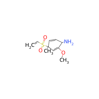 C=CS(=O)(=O)C1(C)C=CC(N)C(OC)=C1